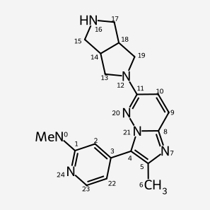 CNc1cc(-c2c(C)nc3ccc(N4CC5CNCC5C4)nn23)ccn1